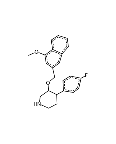 COc1cc(COC2CNCCC2c2ccc(F)cc2)cc2ccccc12